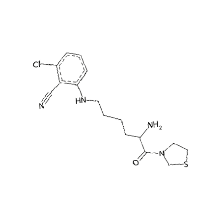 N#Cc1c(Cl)cccc1NCCCCC(N)C(=O)N1CCSC1